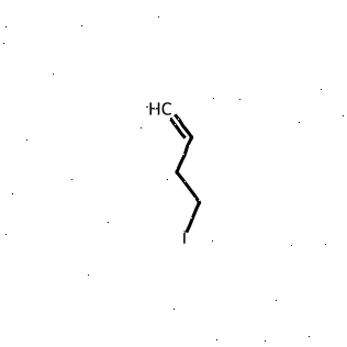 [CH]=CCCI